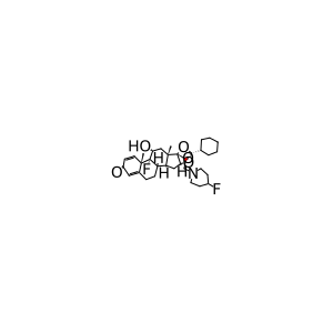 C[C@]12C=CC(=O)C=C1CC[C@H]1[C@@H]3C[C@H]4O[C@@H](C5CCCCC5)O[C@@]4(C(=O)CN4CCC(F)CC4)[C@@]3(C)C[C@H](O)[C@@]12F